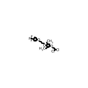 CCc1cc(OCC=C(Cl)Cl)cc(CC)c1OCCCCOc1ccc(C(F)(F)F)cc1